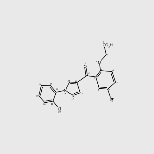 O=C(O)COc1ccc(Br)cc1C(=O)c1cnn(-c2ccccc2Cl)c1